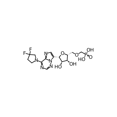 O=P(O)(O)COC[C@H]1O[C@@H](c2cnc3c(N4CCC(F)(F)C4)ncnn23)[C@H](O)[C@@H]1O